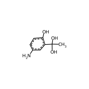 CC(O)(O)c1cc(N)ccc1O